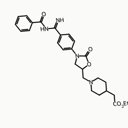 CCOC(=O)CC1CCN(CC2CN(c3ccc(C(=N)NC(=O)c4ccccc4)cc3)C(=O)O2)CC1